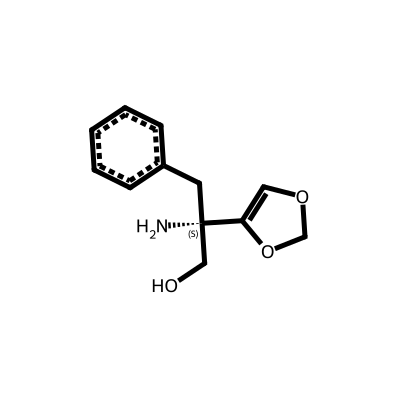 N[C@](CO)(Cc1ccccc1)C1=COCO1